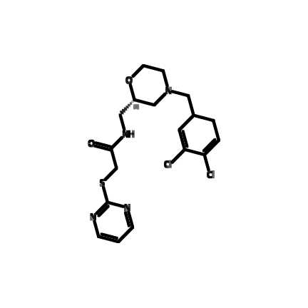 O=C(CSc1ncccn1)NC[C@H]1CN(CC2C=C(Cl)C(Cl)=CC2)CCO1